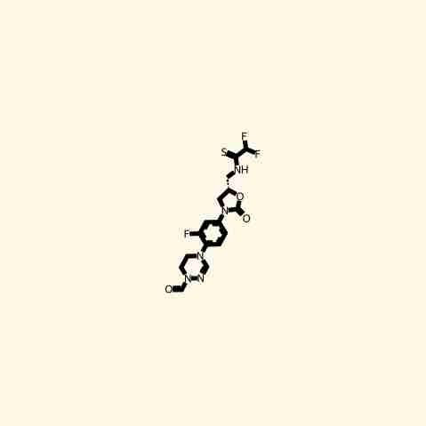 O=CN1CCN(c2ccc(N3C[C@H](CNC(=S)C(F)F)OC3=O)cc2F)C=N1